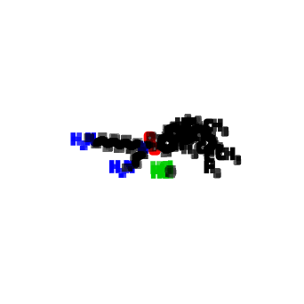 CC[C@H](CC[C@@H](C)[C@H]1CC[C@H]2[C@@H]3CC=C4C[C@@H](OC(=O)N(CCCN)CCCCCCCCN)CC[C@]4(C)[C@H]3CC[C@]12C)C(C)C.Cl.Cl